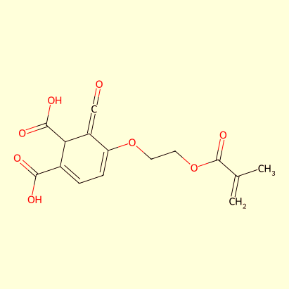 C=C(C)C(=O)OCCOC1=CC=C(C(=O)O)C(C(=O)O)C1=C=O